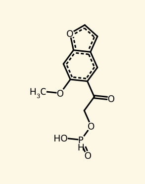 COc1cc2occc2cc1C(=O)CO[PH](=O)O